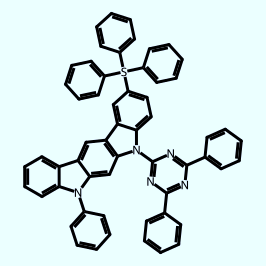 c1ccc(-c2nc(-c3ccccc3)nc(-n3c4ccc(S(c5ccccc5)(c5ccccc5)c5ccccc5)cc4c4cc5c6ccccc6n(-c6ccccc6)c5cc43)n2)cc1